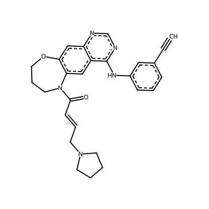 C#Cc1cccc(Nc2ncnc3cc4c(cc23)N(C(=O)/C=C/CN2CCCC2)CCCO4)c1